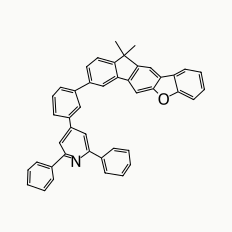 CC1(C)c2ccc(-c3cccc(-c4cc(-c5ccccc5)nc(-c5ccccc5)c4)c3)cc2-c2cc3oc4ccccc4c3cc21